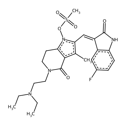 CCN(CC)CCN1CCc2c(c(C)c(C=C3C(=O)Nc4ccc(F)cc43)n2OS(C)(=O)=O)C1=O